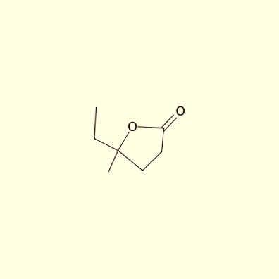 CCC1(C)CCC(=O)O1